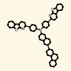 c1ccc2c(c1)ccc1cc(-c3ccc4cc(N(c5ccc(-c6ccc7c(n6)oc6ccccc67)cc5)c5ccc(-c6ccc7c(n6)oc6ccccc67)cc5)ccc4c3)ccc12